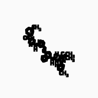 Cc1ccc(-n2nc(C(C)(C)C)cc2NC(=O)Nc2ccc(OCc3ccnc(Nc4cnc(C(=O)N5CCCN(C)CC5)cn4)c3)c3ccccc23)cc1